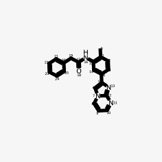 Cc1ccc(-c2cn3cccnc3n2)cc1NC(=O)Cc1ccccc1